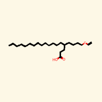 C=COCCCCC(CCCCCCCCCCCCCC)CCC(=O)O